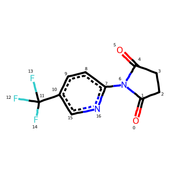 O=C1CCC(=O)N1c1ccc(C(F)(F)F)cn1